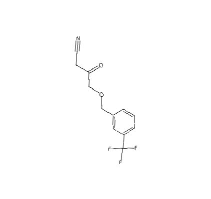 N#CCC(=O)COCc1cccc(C(F)(F)F)c1